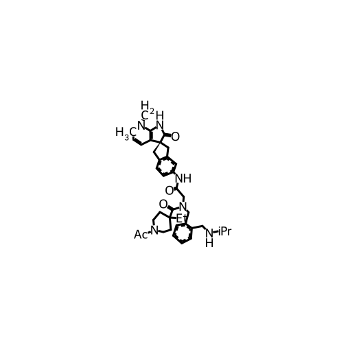 C=NC1=C(/C=C\C)[C@]2(Cc3ccc(NC(=O)CN(Cc4ccccc4CNC(C)C)C(=O)C4(CC)CCN(C(C)=O)CC4)cc3C2)C(=O)N1